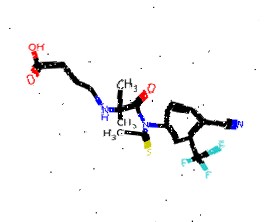 CC(=S)N(C(=O)C(C)(C)NCCCC(=O)O)c1ccc(C#N)c(C(F)(F)F)c1